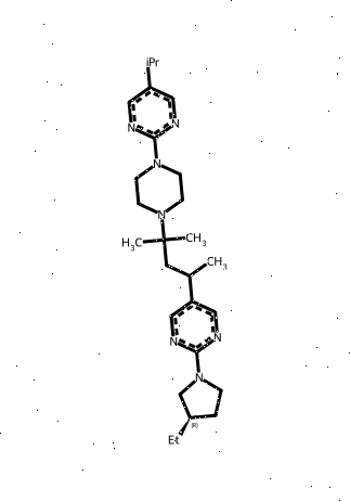 CC[C@@H]1CCN(c2ncc(C(C)CC(C)(C)N3CCN(c4ncc(C(C)C)cn4)CC3)cn2)C1